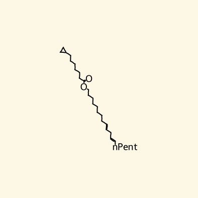 CCCCC/C=C/C/C=C/CCCCCCCCOC(=O)CCCCCCC1CC1